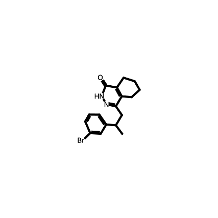 CC(Cc1n[nH]c(=O)c2c1CCCC2)c1cccc(Br)c1